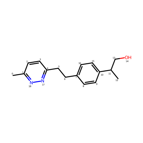 Cc1ccc(CCc2ccc(C(C)CO)cc2)nn1